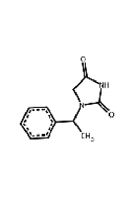 CC(c1ccccc1)N1CC(=O)NC1=O